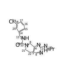 CC(C)Nc1ncc2c(n1)CN(C(=O)NCc1cccc(Cl)c1)CC2